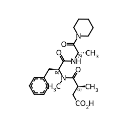 C[C@H](NC(=O)[C@H](Cc1ccccc1)N(C)C(=O)[C@@H](C)CC(=O)O)C(=O)N1CCCCC1